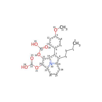 CCCCc1c(-c2ccc(OC)cc2)c2c(OC(=O)O)c(OC(=O)O)c3cccc1n32